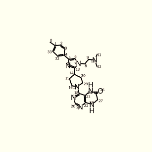 Cc1ccc(-c2cn(CCN(C)C)c(C3CCN(c4ncnc5c4NC(=O)CN5)CC3)n2)cc1